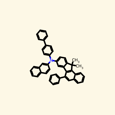 CC1(C)c2ccc(N(c3ccc(-c4ccccc4)cc3)c3ccc4ccccc4c3)cc2-c2c(-c3ccccc3)cc3ccccc3c21